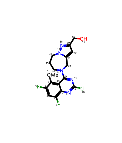 COc1c(F)cc(F)c2nc(Cl)nc(N3CCCn4nc(CO)cc4C3)c12